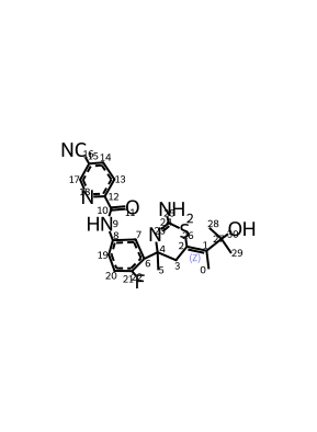 C/C(=C1\CC(C)(c2cc(NC(=O)c3ccc(C#N)cn3)ccc2F)N=C(N)S1)C(C)(C)O